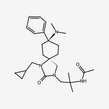 CC(=O)NC(C)(C)CN1C[C@]2(CC[C@](c3ccccc3)(N(C)C)CC2)N(CC2CC2)C1=O